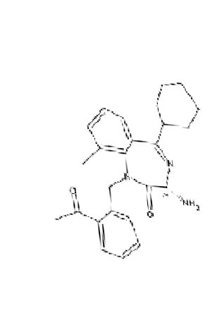 CC(=O)c1ccccc1CN1C(=O)[C@@H](N)N=C(C2CCCCC2)c2cccc(C)c21